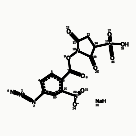 [N-]=[N+]=Nc1ccc(C(=O)ON2C(=O)CC(S(=O)(=O)O)C2=O)c([N+](=O)[O-])c1.[NaH]